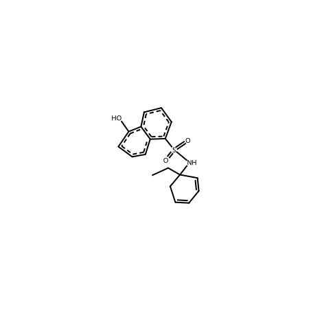 CCC1(NS(=O)(=O)c2cccc3c(O)cccc23)C=CC=CC1